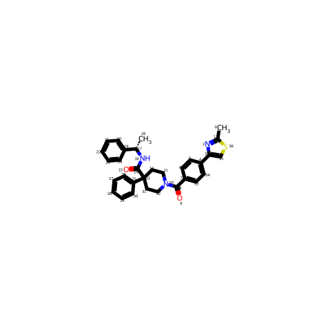 Cc1nc(-c2ccc(C(=O)N3CCC(C(=O)N[C@@H](C)c4ccccc4)(c4ccccc4)CC3)cc2)cs1